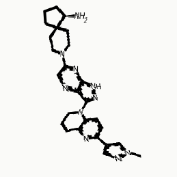 Cn1cc(-c2ccc3c(n2)CCCN3c2n[nH]c3nc(N4CCC5(CCC[C@H]5N)CC4)cnc23)cn1